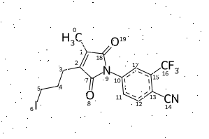 CC1=C(CCCI)C(=O)N(c2ccc(C#N)c(C(F)(F)F)c2)C1=O